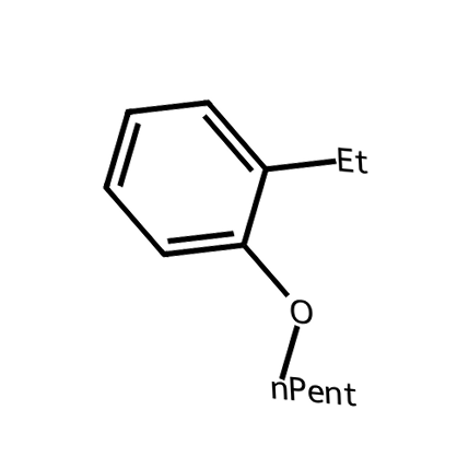 [CH2]CCCCOc1ccccc1CC